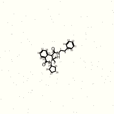 CC1(C)C(C(=O)NCCc2ccccc2)c2ccccc2C(=O)N1C1CCCC1